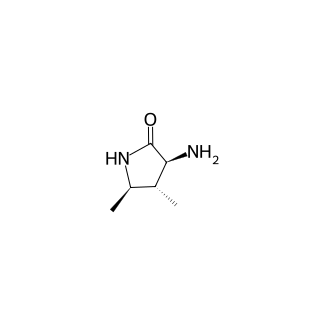 C[C@H]1[C@H](N)C(=O)N[C@@H]1C